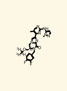 [2H]C([2H])([2H])OC[C@H]1Cn2cc(-c3nc(Nc4ccnn4C)ncc3C)nc2C(=O)N1Cc1ccc(F)c(F)c1